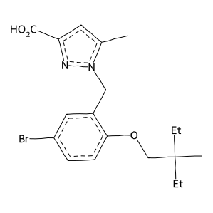 CCC(C)(CC)COc1ccc(Br)cc1Cn1nc(C(=O)O)cc1C